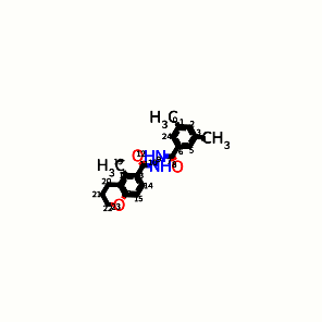 Cc1cc(C)cc(C(=O)NNC(=O)c2ccc3c(c2C)CCCO3)c1